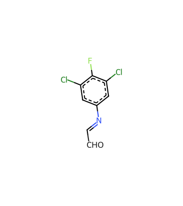 O=CC=Nc1cc(Cl)c(F)c(Cl)c1